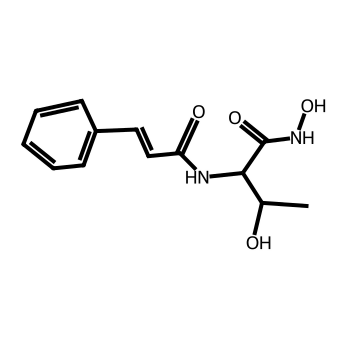 CC(O)C(NC(=O)C=Cc1ccccc1)C(=O)NO